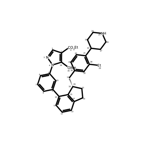 CCOC(=O)c1cnn(-c2cccc(-c3cccc4c3[C@H](Cc3ccc(C5CCNCC5)c(CC)c3)CC4)c2)c1OC